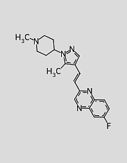 Cc1c(C=Cc2cnc3cc(F)ccc3n2)cnn1C1CCN(C)CC1